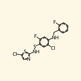 Fc1ccccc1CNc1cc(F)c(SNc2ncc(Cl)s2)cc1Cl